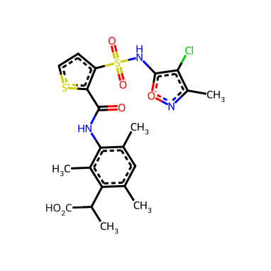 Cc1cc(C)c(C(C)C(=O)O)c(C)c1NC(=O)c1sccc1S(=O)(=O)Nc1onc(C)c1Cl